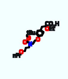 CCCOCCCN(CCOc1ccc(CC(OCC)C(=O)O)cc1)C(=O)OCC(C)(C)C